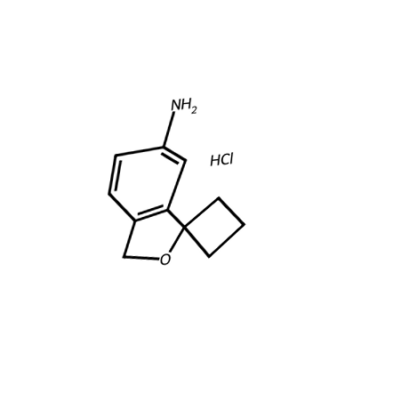 Cl.Nc1ccc2c(c1)C1(CCC1)OC2